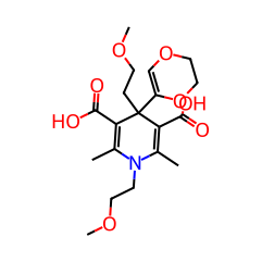 COCCN1C(C)=C(C(=O)O)C(CCOC)(C2=COCCO2)C(C(=O)O)=C1C